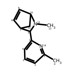 Cc1cccc(C2C3C=CC(C3)N2C)n1